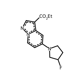 CCOC(=O)c1cnn2ccc(N3CCC(F)C3)cc12